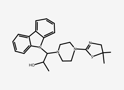 CC(O)C(N1CCN(C2=NCC(C)(C)S2)CC1)n1c2ccccc2c2ccccc21